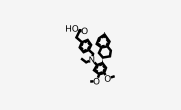 CCN(Cc1ccc(CC(=O)O)cc1)c1cc(OC)c(OC)cc1[C@H]1CCc2c[c]ccc2C1